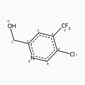 OCc1cc(C(F)(F)F)c(Cl)cn1